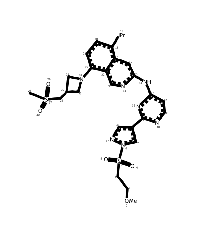 COCCS(=O)(=O)n1cc(-c2nccc(Nc3cc4c(C(C)C)ccc(N5CC(CS(C)(=O)=O)C5)c4cn3)n2)cn1